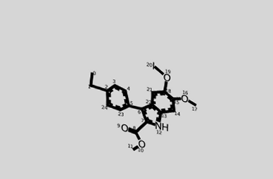 CCc1ccc(-c2c(C(=O)OC)[nH]c3cc(OC)c(OI)cc23)cc1